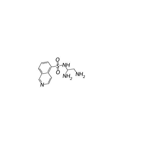 NCC(N)NS(=O)(=O)c1cccc2cnccc12